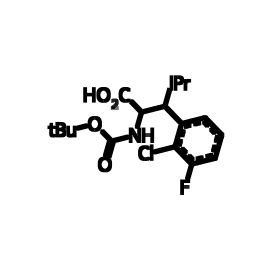 CC(C)C(c1cccc(F)c1Cl)C(NC(=O)OC(C)(C)C)C(=O)O